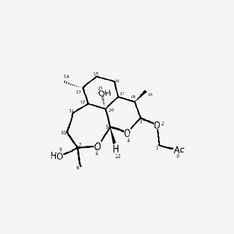 CC(=O)COC1O[C@@H]2OC(C)(O)CCC3[C@H](C)CCC([C@H]1C)[C@]32O